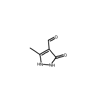 Cc1[nH][nH]c(=O)c1C=O